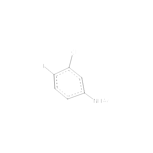 CC(=O)Nc1ccc(I)c(Cl)c1